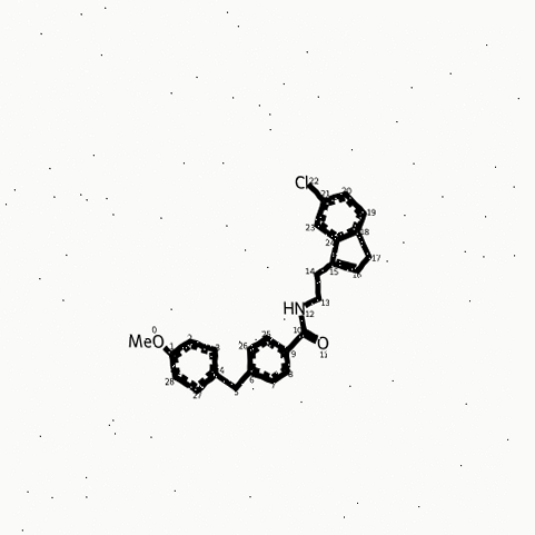 COc1ccc(Cc2ccc(C(=O)NCCC3=CCc4ccc(Cl)cc43)cc2)cc1